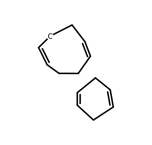 C1=CCC=CC1.C1=CCCC=CCC1